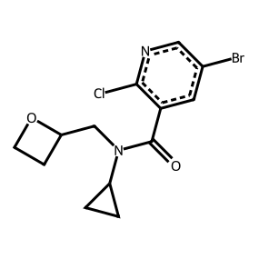 O=C(c1cc(Br)cnc1Cl)N(CC1CCO1)C1CC1